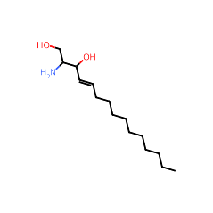 CCCCCCCCCCC=CC(O)C(N)CO